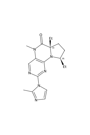 CC[C@@H]1CC[C@@]2(CC)C(=O)N(C)c3cnc(-n4ccnc4C)nc3N12